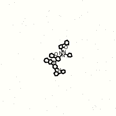 c1ccc(-c2nc(-c3cccc4c3oc3ccccc34)nc(-c3ccc(-n4c5cc6ccccc6cc5c5cc6c7cccc8c9ccccc9n(c6cc54)c87)c4c3oc3ccccc34)n2)cc1